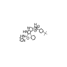 CC(C)(C)c1ccc(S(=O)(=O)Nc2cnc3[nH]c(C(=O)Nc4nccs4)c(-c4ccccc4)c3c2)cc1